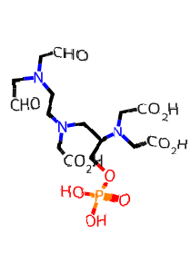 O=CCN(CC=O)CCN(CC(=O)O)CC(COP(=O)(O)O)N(CC(=O)O)CC(=O)O